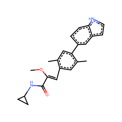 CO/C(=C\c1cc(C)c(-c2ccc3[nH]ccc3c2)cc1C)C(=O)NC1CC1